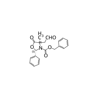 C[C@@]1(CC=O)C(=O)O[C@@H](c2ccccc2)N1C(=O)OCc1ccccc1